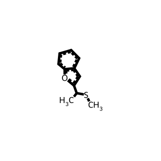 CSC(C)c1cc2ccccc2o1